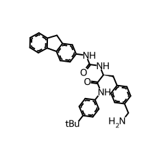 CC(C)(C)c1ccc(NC(=O)[C@H](Cc2ccc(CN)cc2)NC(=O)Nc2ccc3c(c2)Cc2ccccc2-3)cc1